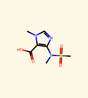 CN(c1ncn(C)c1C(=O)O)S(C)(=O)=O